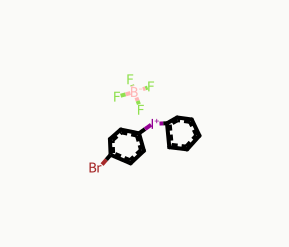 Brc1ccc([I+]c2ccccc2)cc1.F[B-](F)(F)F